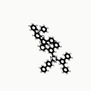 C1=CC(c2cc(-c3nc(-c4ccc(-c5ccccc5)cc4)nc(-c4cc(-c5ccccc5)cc(-c5ccccc5)c4)n3)cc(-c3ccccc3)c2-n2c3ccccc3c3c4oc5c(ccc6c7ccccc7n(-c7ccccc7)c65)c4ccc32)=CCC1